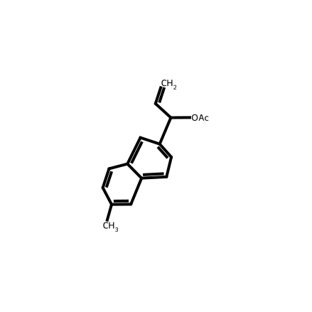 C=CC(OC(C)=O)c1ccc2cc(C)ccc2c1